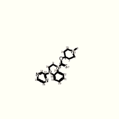 CN1CCC(OC(=S)N2CCN(c3cnccn3)c3ccccc32)CC1